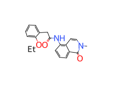 CCOc1ccccc1CC(=O)Nc1cccc2c(=O)n(C)ccc12